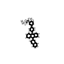 C[Si](C)(C)c1cccc(-c2ccc(-c3c4ccccc4c(-c4ccc5ccccc5c4)c4ccccc34)cc2)c1